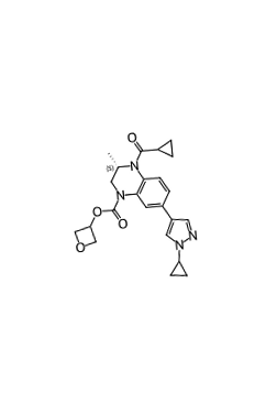 C[C@H]1CN(C(=O)OC2COC2)c2cc(-c3cnn(C4CC4)c3)ccc2N1C(=O)C1CC1